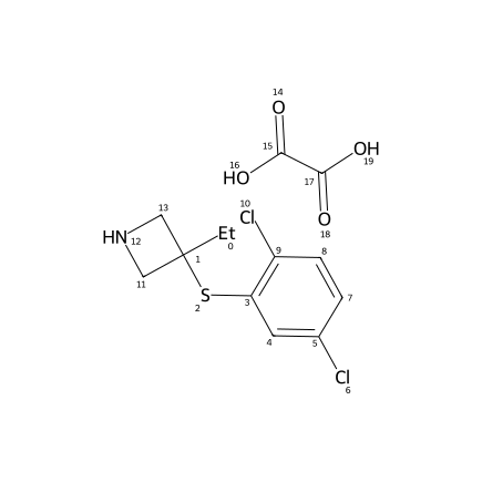 CCC1(Sc2cc(Cl)ccc2Cl)CNC1.O=C(O)C(=O)O